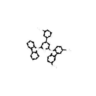 N#Cc1cccc(-c2cc(-n3c4ccccc4c4ccccc43)nc(-n3c4ccc(C#N)cc4c4cc(C#N)ccc43)c2)c1